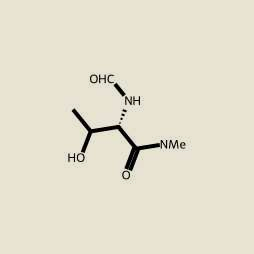 CNC(=O)[C@@H](NC=O)C(C)O